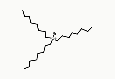 CCCCCCC[CH2][Ge]([Br])([CH2]CCCCCCC)[CH2]CCCCCCC